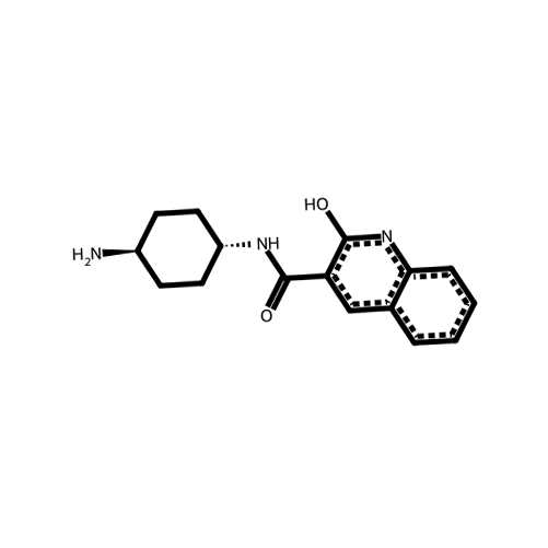 N[C@H]1CC[C@H](NC(=O)c2cc3ccccc3nc2O)CC1